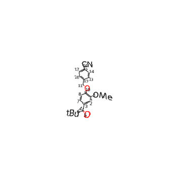 COc1cc(C(=O)C(C)(C)C)ccc1OCc1ccc(C#N)cc1